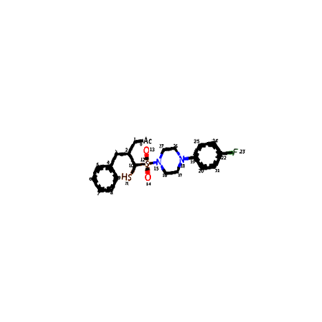 CC(=O)CC(Cc1ccccc1)C(S)S(=O)(=O)N1CCN(c2ccc(F)cc2)CC1